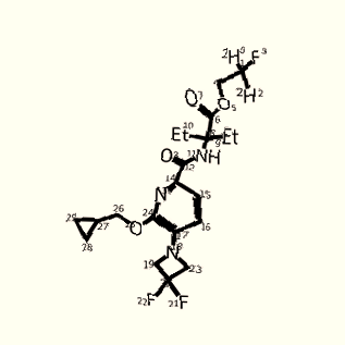 [2H]C([2H])(F)COC(=O)C(CC)(CC)NC(=O)c1ccc(N2CC(F)(F)C2)c(OCC2CC2)n1